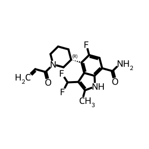 C=CC(=O)N1CCC[C@H](c2c(F)cc(C(N)=O)c3[nH]c(C)c(C(F)F)c23)C1